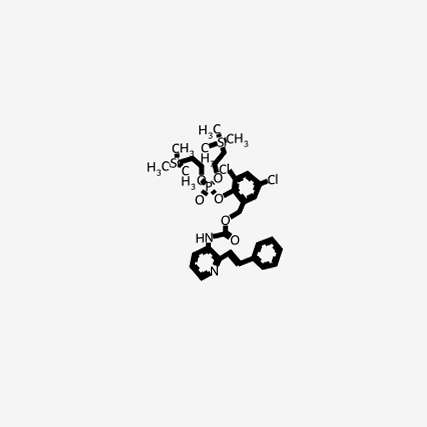 C[Si](C)(C)CCOP(=O)(OCC[Si](C)(C)C)Oc1c(Cl)cc(Cl)cc1COC(=O)Nc1cccnc1C=Cc1ccccc1